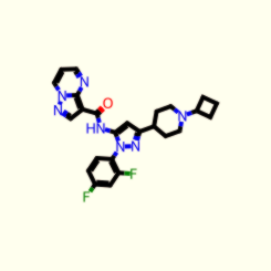 O=C(Nc1cc(C2CCN(C3CCC3)CC2)nn1-c1ccc(F)cc1F)c1cnn2cccnc12